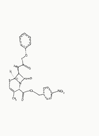 CC1=CS[C@H]2C(NC(=O)COc3ccccc3)C(=O)N2C1C(=O)OCc1ccc([N+](=O)[O-])cc1